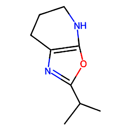 CC(C)c1nc2c(o1)NCCC2